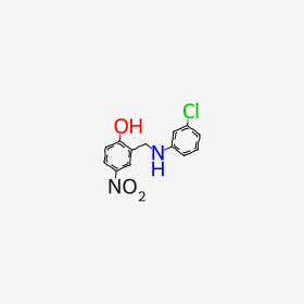 O=[N+]([O-])c1ccc(O)c(CNc2cccc(Cl)c2)c1